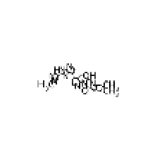 Cn1cc(-c2nc3c(-c4ccnc(N5CCn6c(cc7c6CC(C)(C)C7)C5=O)c4CO)ccnc3[nH]2)cn1